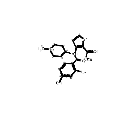 COC(=O)c1sccc1[As](C(=O)c1ccc(Cl)cc1Cl)C1CCN(C)CC1